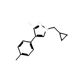 Cc1ccc(-c2cnn(CC3CC3)c2)cc1.N